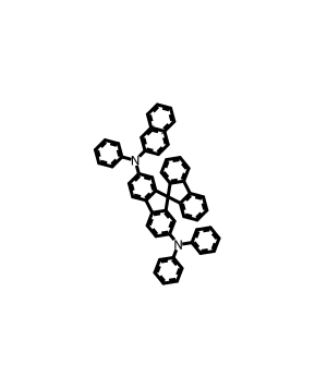 c1ccc(N(c2ccccc2)c2ccc3c(c2)C2(c4ccccc4-c4ccccc42)c2cc(N(c4ccccc4)c4ccc5ccccc5c4)ccc2-3)cc1